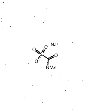 CNC(=O)S(=O)(=O)[O-].[Na+]